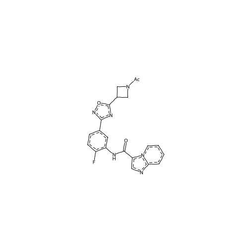 CC(=O)N1CC(c2nc(-c3ccc(F)c(NC(=O)c4cnc5ccccn45)c3)no2)C1